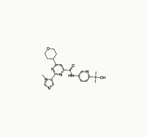 Cn1cncc1-c1nc(C(=O)Nc2ccc(C(C)(C)O)nc2)cc(C2CCOCC2)n1